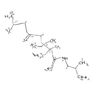 CC(C)CNC(=O)C(C)(C)C(C)(C)CC(=O)CC(C)C